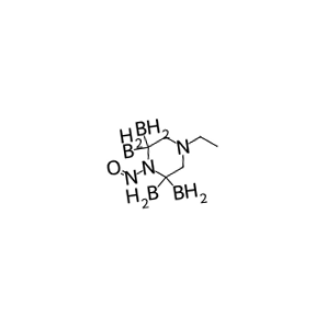 BC1(B)CN(CC)CC(B)(B)N1N=O